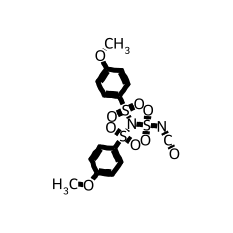 COc1ccc(S(=O)(=O)N(S(=O)(=O)N=C=O)S(=O)(=O)c2ccc(OC)cc2)cc1